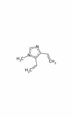 C=Cc1ncn(C)c1C=C